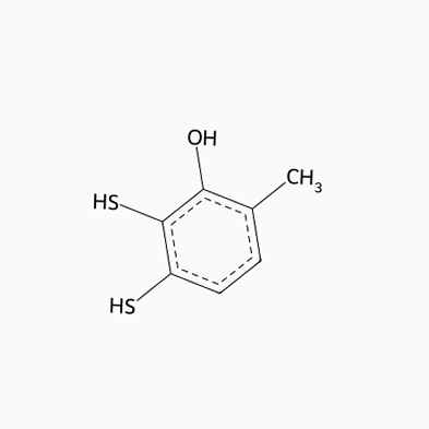 Cc1ccc(S)c(S)c1O